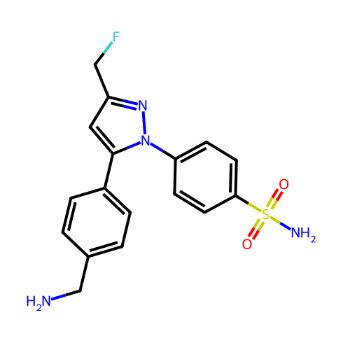 NCc1ccc(-c2cc(CF)nn2-c2ccc(S(N)(=O)=O)cc2)cc1